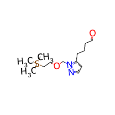 CS(C)(C)CCOCn1nccc1CCCC=O